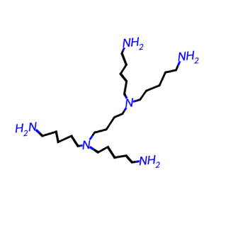 NCCCCCN(CCCCCN)CCCCN(CCCCCN)CCCCCN